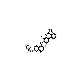 CC(C)(CO)Oc1ccc2c(Oc3c(F)cc(-c4ncccc4C(N)=O)cc3F)ccnc2c1